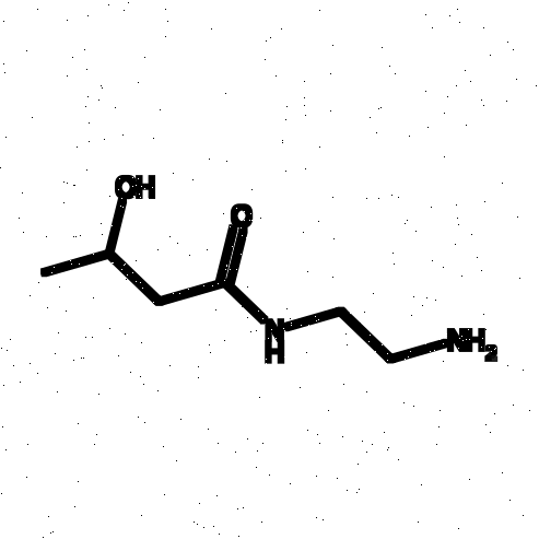 CC(O)CC(=O)NCCN